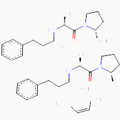 CCOC(=O)[C@H](CCc1ccccc1)N[C@@H](C)C(=O)N1CCC[C@H]1C(=O)O.C[C@H](N[C@@H](CCc1ccccc1)C(=O)O)C(=O)N1CCC[C@H]1C(=O)O.O=C(O)/C=C\C(=O)O